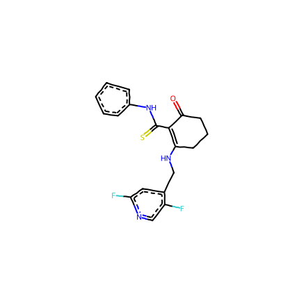 O=C1CCCC(NCc2cc(F)ncc2F)=C1C(=S)Nc1ccccc1